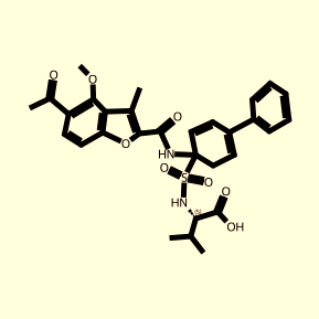 COc1c(C(C)=O)ccc2oc(C(=O)NC3(S(=O)(=O)N[C@H](C(=O)O)C(C)C)C=CC(c4ccccc4)=CC3)c(C)c12